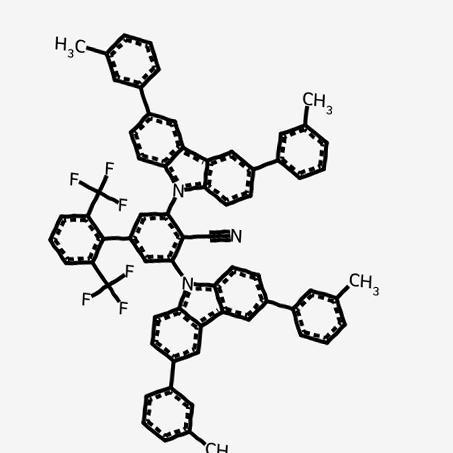 Cc1cccc(-c2ccc3c(c2)c2cc(-c4cccc(C)c4)ccc2n3-c2cc(-c3c(C(F)(F)F)cccc3C(F)(F)F)cc(-n3c4ccc(-c5cccc(C)c5)cc4c4cc(-c5cccc(C)c5)ccc43)c2C#N)c1